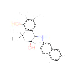 Cc1cc2c(c(O)c1C#N)C(C)(C)CC(O)(C(F)(F)F)C2Nc1ccc2ccccc2c1